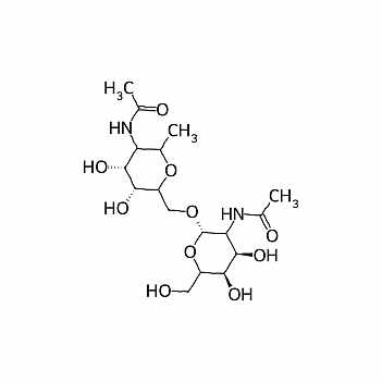 CC(=O)NC1C(C)OC(CO[C@H]2OC(CO)[C@H](O)[C@H](O)C2NC(C)=O)[C@H](O)[C@@H]1O